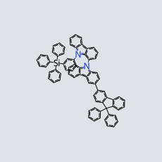 c1ccc(C2(c3ccccc3)c3ccccc3-c3cc(-c4ccc5c(c4)c4ccccc4n5-c4cccc5c6ccccc6n(-c6cccc([Si](c7ccccc7)(c7ccccc7)c7ccccc7)c6)c45)ccc32)cc1